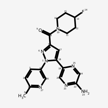 Cc1ccc(-n2nc(C(=O)N3CCC(F)CC3)cc2-c2cnc(N)cn2)cn1